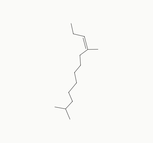 CC/C=C(/C)CCCCCCC(C)C